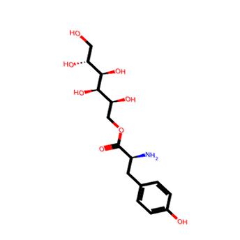 N[C@@H](Cc1ccc(O)cc1)C(=O)OC[C@H](O)[C@@H](O)[C@H](O)[C@H](O)CO